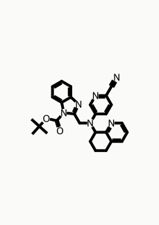 CC(C)(C)OC(=O)n1c(CN(c2ccc(C#N)nc2)C2CCCc3cccnc32)nc2ccccc21